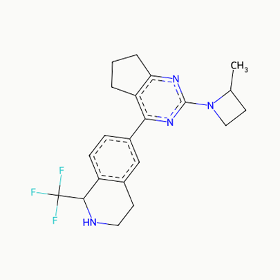 CC1CCN1c1nc2c(c(-c3ccc4c(c3)CCNC4C(F)(F)F)n1)CCC2